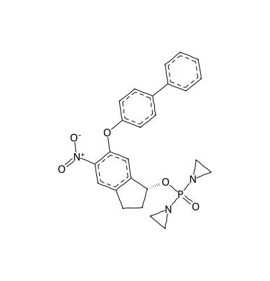 O=[N+]([O-])c1cc2c(cc1Oc1ccc(-c3ccccc3)cc1)[C@H](OP(=O)(N1CC1)N1CC1)CC2